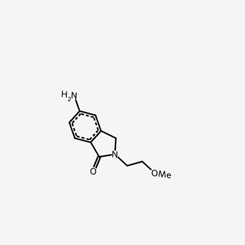 COCCN1Cc2cc(N)ccc2C1=O